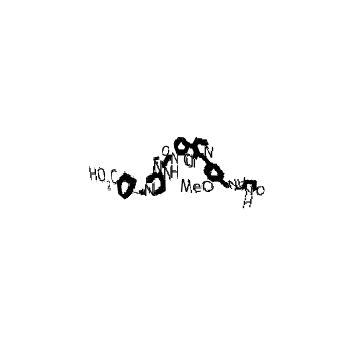 COc1cc(-c2nccc(-c3cccc(NC(=O)c4nc5c(n4C)CN(C[C@H]4CC[C@H](C(=O)O)CC4)CC5)c3Cl)c2Cl)ccc1CNC[C@H]1CCC(=O)N1